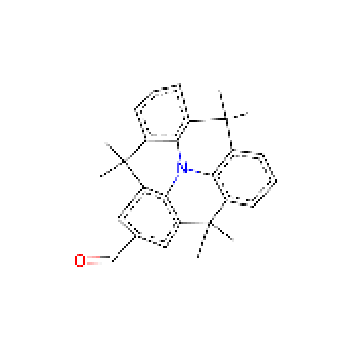 CC1(C)c2cccc3c2N2c4c1cccc4C(C)(C)c1cc(C=O)cc(c12)C3(C)C